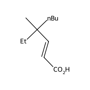 CCCCC(C)(C=CC(=O)O)CC